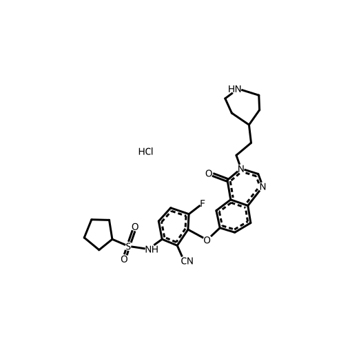 Cl.N#Cc1c(NS(=O)(=O)C2CCCC2)ccc(F)c1Oc1ccc2ncn(CCC3CCNCC3)c(=O)c2c1